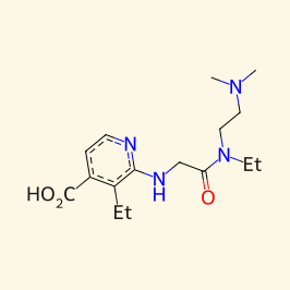 CCc1c(C(=O)O)ccnc1NCC(=O)N(CC)CCN(C)C